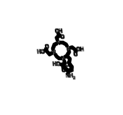 Nc1ccc(CC2CN(CC(=O)O)CCN(CC(=O)O)CCN(CC(=O)O)CCN2CC(=O)O)cc1